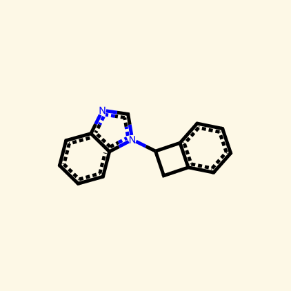 c1ccc2c(c1)CC2n1cnc2ccccc21